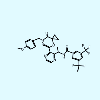 COc1ccc(CN2N=C(c3nccnc3C(C)NC(=O)c3cc(C(F)(F)F)cc(C(F)(F)F)c3)OC3(CC3)C2=O)cc1